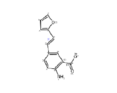 Nc1ccc(/C=C/c2ccco2)cc1[N+](=O)[O-]